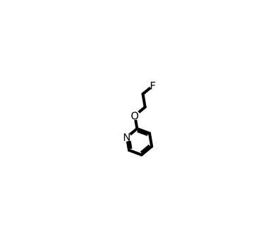 FCCOc1ccccn1